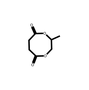 CC1COC(=O)CCC(=O)O1